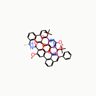 COc1cc(-c2cccc3cccc(-c4ccc(-c5cccc6cccc(-c7cc(OC)c(C(=O)N[C@H](C)c8ccccc8)c(OC)c7)c56)c(NC(=O)C(C)(C)C)c4NC(=O)C(C)(C)C)c23)cc(OC)c1C(=O)N[C@H](C)c1ccccc1